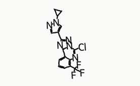 FC(F)(F)c1cccc2c1nc(Cl)n1nc(-c3cnn(C4CC4)c3)nc21